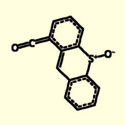 O=C=c1cccc2c1=Cc1ccccc1[S+]2[O-]